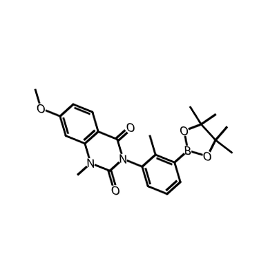 COc1ccc2c(=O)n(-c3cccc(B4OC(C)(C)C(C)(C)O4)c3C)c(=O)n(C)c2c1